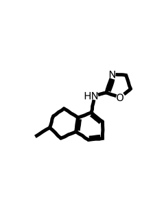 CC1CCc2c(cccc2NC2=NCCO2)C1